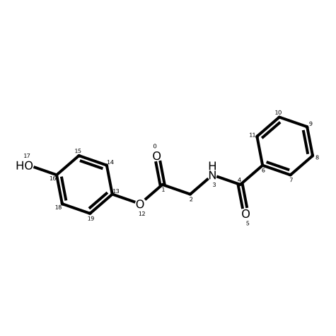 O=C(CNC(=O)c1ccccc1)Oc1ccc(O)cc1